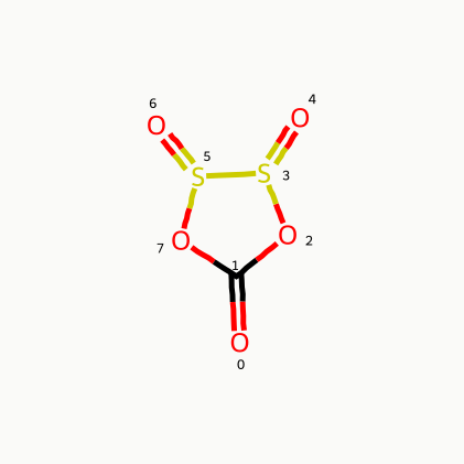 O=C1OS(=O)S(=O)O1